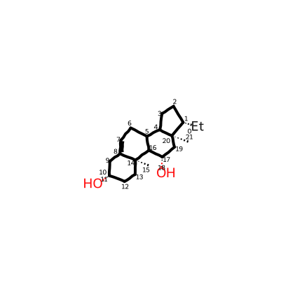 CC[C@H]1CCC2C3CC=C4C[C@@H](O)CC[C@]4(C)C3[C@@H](O)C[C@@]21C